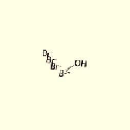 CO.[B+3].[Br-].[Br-].[Br-]